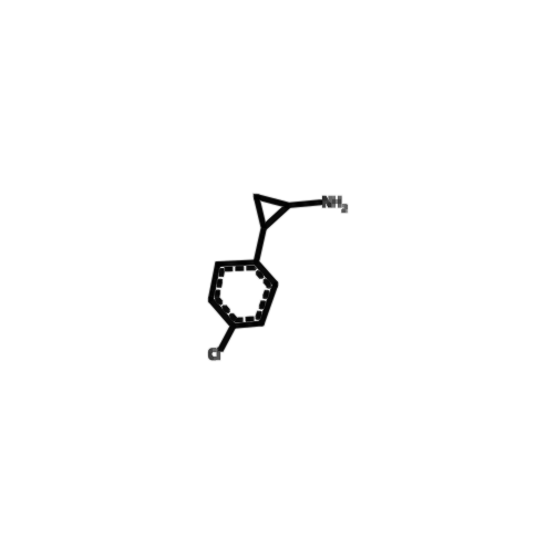 NC1CC1c1ccc(Cl)cc1